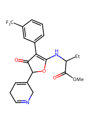 CCC(NC1=C(c2cccc(C(F)(F)F)c2)C(=O)C(C2=CCC=NC2)O1)C(=O)OC